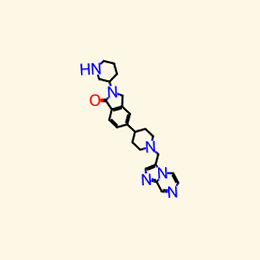 O=C1c2ccc(C3CCN(Cc4cnc5cnccn45)CC3)cc2CN1C1CCCNC1